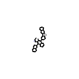 C/C=C\c1c(C)c(-c2ccc3oc4cc5ccccc5cc4c3c2)c2ccccc2c1-c1ccc2ccccc2c1